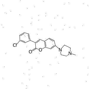 CN1CCN(c2ccc3cc(-c4cccc(Cl)c4)c(=O)oc3c2)CC1